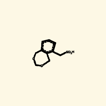 O=S(=O)(O)Cc1cccc2c1COCOC2